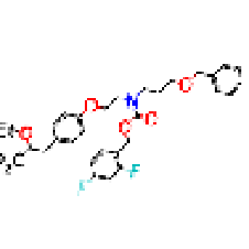 CCOC(Cc1ccc(OCCN(CCCOCc2ccccc2)C(=O)OCc2ccc(F)cc2F)cc1)C(=O)O